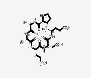 CC(C)[C@H](NC(=O)[C@@H]1CCCN1)C(=O)N[C@H](C(=O)N[C@@H](CCC(=O)O)C(=O)N[C@@H](CC(=O)O)C(=O)N[C@@H](CCC(=O)O)C(=O)O)C(C)C